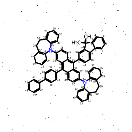 CC1(C)c2ccccc2-c2ccc(-c3c4ccc(N5C6=C(CCC=C6)CCc6ccccc65)cc4c(-c4ccc(-c5ccccc5)cc4)c4ccc(N5C6=C(CCC=C6)CCc6ccccc65)cc34)cc21